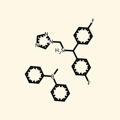 CB(c1ccccc1)c1ccccc1.Fc1ccc(C([SiH2]Cn2cncn2)c2ccc(F)cc2)cc1